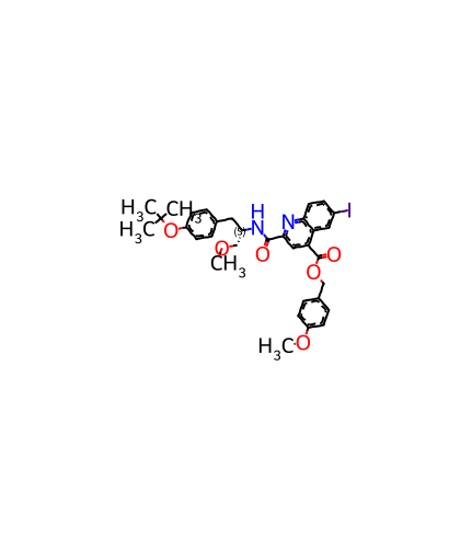 COC[C@H](Cc1ccc(OC(C)(C)C)cc1)NC(=O)c1cc(C(=O)OCc2ccc(OC)cc2)c2cc(I)ccc2n1